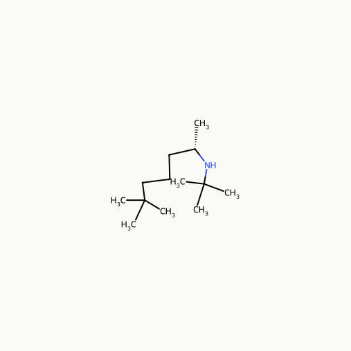 C[C@@H](CCCC(C)(C)C)NC(C)(C)C